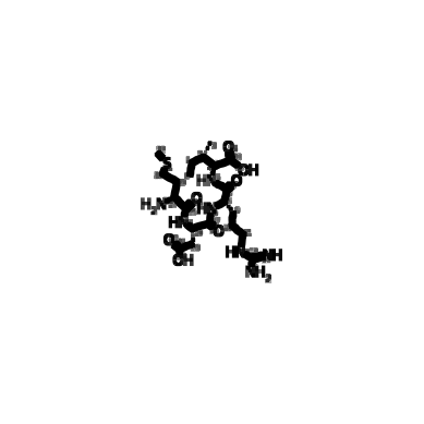 CC[C@H](C)[C@H](NC(=O)[C@H](CCCNC(=N)N)NC(=O)[C@H](CC(=O)O)NC(=O)[C@@H](N)CCSC)C(=O)O